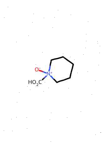 O=C(O)[N+]1([O-])CCCCC1